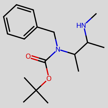 CNC(C)C(C)N(Cc1ccccc1)C(=O)OC(C)(C)C